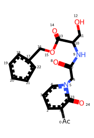 CC(=O)c1cccn(CC(=O)NC(CO)C(=O)OCc2ccccc2)c1=O